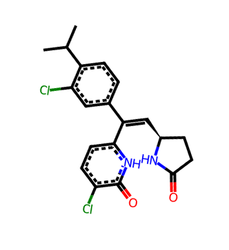 CC(C)c1ccc(/C(=C/[C@H]2CCC(=O)N2)c2ccc(Cl)c(=O)[nH]2)cc1Cl